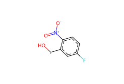 O=[N+]([O-])c1ccc(F)cc1[CH]O